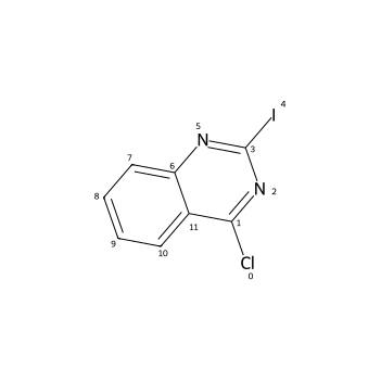 Clc1nc(I)nc2ccccc12